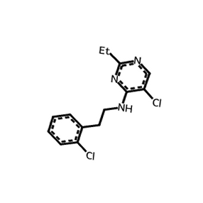 CCc1ncc(Cl)c(NCCc2ccccc2Cl)n1